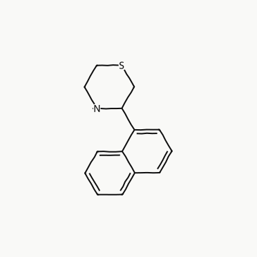 c1ccc2c(C3CSCC[N]3)cccc2c1